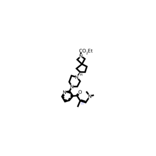 CCOC(=O)N1CC2(CC[C@@H](N3CCN(c4ncccc4C(=O)/C(C)=C\N(C)C)CC3)C2)C1